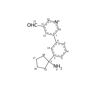 NC1(c2cccc(-c3cncc(C=O)c3)c2)CCCC1